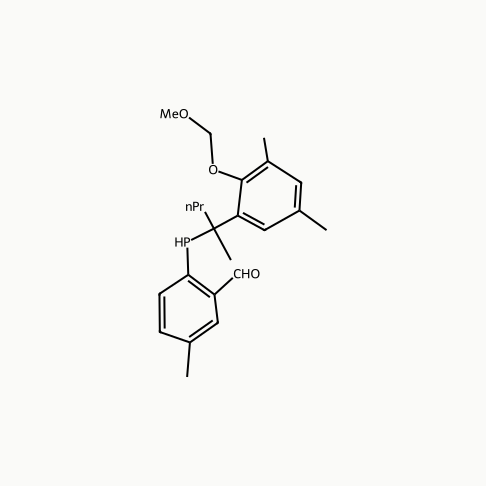 CCCC(C)(Pc1ccc(C)cc1C=O)c1cc(C)cc(C)c1OCOC